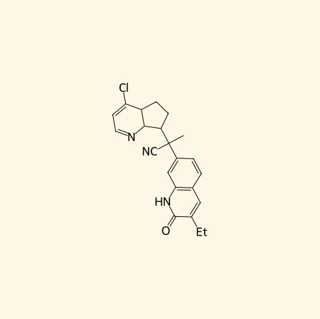 CCc1cc2ccc(C(C)(C#N)C3CCC4C(Cl)=CC=NC43)cc2[nH]c1=O